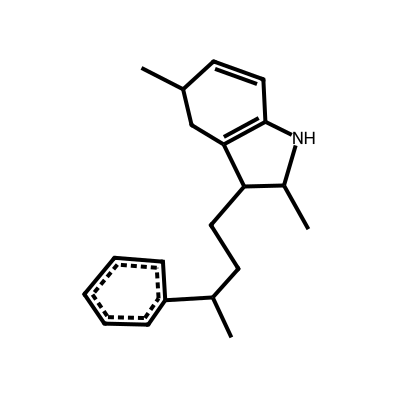 CC1C=CC2=C(C1)C(CCC(C)c1ccccc1)C(C)N2